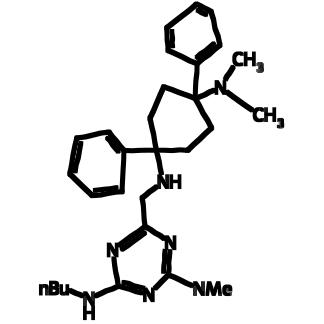 CCCCNc1nc(CNC2(c3ccccc3)CCC(c3ccccc3)(N(C)C)CC2)nc(NC)n1